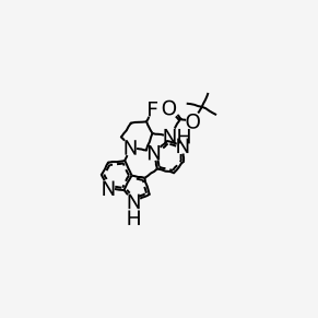 CC(C)(C)OC(=O)NC1CN(c2ccnc3[nH]cc(-c4ccncn4)c23)CCC1F